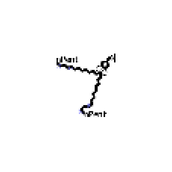 CCCCC/C=C\C/C=C\CCCCCCCCC1(CCCCCCC/C=C/C/C=C\CCCCC)OC2CC(CN(C)C)CC2O1